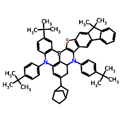 CC(C)(C)c1ccc(N2C3=C4B(c5cc(C(C)(C)C)ccc52)c2sc5cc6c(cc5c2N(c2ccc(C(C)(C)C)cc2)C4CC(C2CC4CCC2C4)=C3)-c2ccccc2C6(C)C)cc1